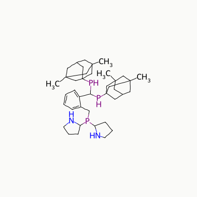 CC12CC3CC(C)(C1)CC(PC(PC14CC5CC(C)(CC(C)(C5)C1)C4)c1ccccc1CP(C1CCCN1)C1CCCN1)(C3)C2